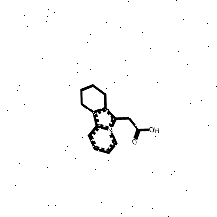 O=C(O)Cc1c2c(c3ccccn13)CCCC2